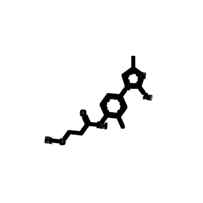 CCOCCC(=O)Nc1ccc(-n2cc(C)nc2C(C)=O)cc1C